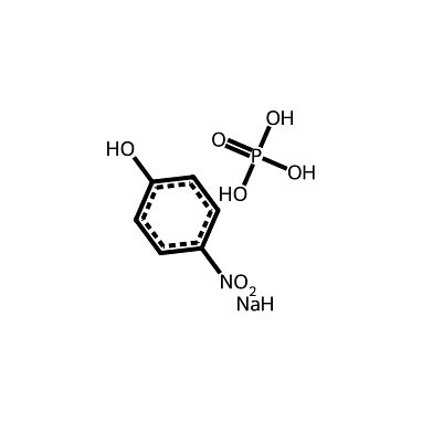 O=P(O)(O)O.O=[N+]([O-])c1ccc(O)cc1.[NaH]